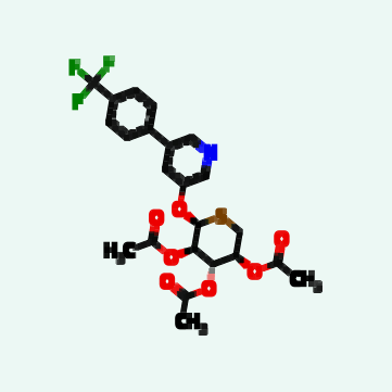 CC(=O)O[C@@H]1[C@@H](OC(C)=O)[C@@H](Oc2cncc(-c3ccc(C(F)(F)F)cc3)c2)SC[C@H]1OC(C)=O